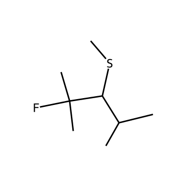 CSC(C(C)C)C(C)(C)F